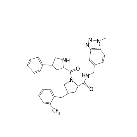 Cn1nnc2cc(CNC(=O)C3CC(Cc4ccccc4C(F)(F)F)CN3C(=O)C3CC(c4ccccc4)CN3)ccc21